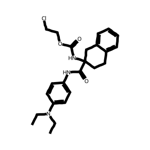 CCN(CC)c1ccc(NC(=O)C2(NC(=O)OCCCl)CCc3ccccc3C2)cc1